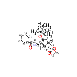 CC(C)(C)[Si](C)(C)O[C@@H]1C[C@H]2CC3(C[C@H]2[C@H]1/C=C/C(=O)C1CCCCC1)OCCO3